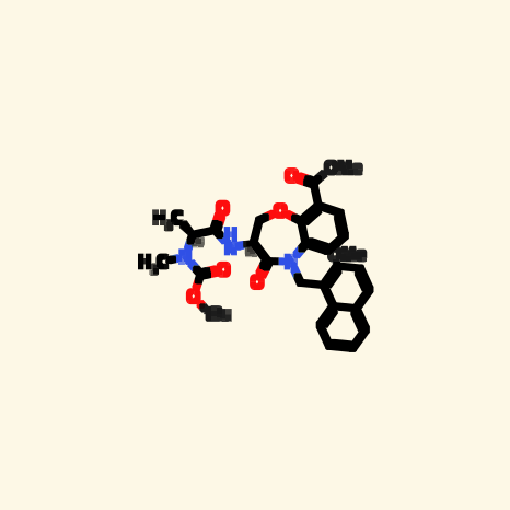 COC(=O)c1cccc2c1OC[C@H](NC(=O)[C@H](C)N(C)C(=O)OC(C)(C)C)C(=O)N2Cc1c(OC)ccc2ccccc12